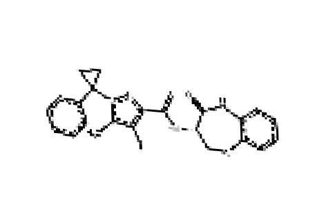 Cc1c(F)c(C(=O)N[C@H]2COc3ccccc3NC2=O)nn1C1(c2ccccc2)CC1